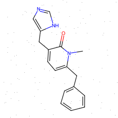 Cn1c(Cc2ccccc2)ccc(Cc2cnc[nH]2)c1=O